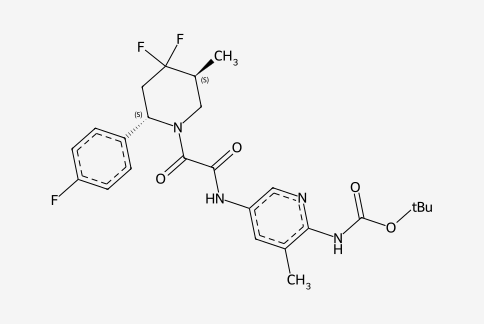 Cc1cc(NC(=O)C(=O)N2C[C@H](C)C(F)(F)C[C@H]2c2ccc(F)cc2)cnc1NC(=O)OC(C)(C)C